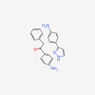 Nc1ccc(-c2cc[nH]n2)cc1.Nc1ccc(C(=O)Cc2ccccc2)cc1